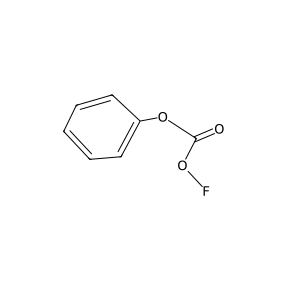 O=C(OF)Oc1ccccc1